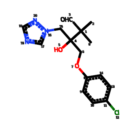 CC(C)(C=O)C(O)(COc1ccc(Cl)cc1)Cn1cncn1